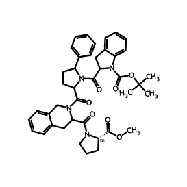 COC(=O)[C@@H]1CCCN1C(=O)C1Cc2ccccc2CN1C(=O)C1CCC(c2ccccc2)N1C(=O)C1Cc2ccccc2N1C(=O)OC(C)(C)C